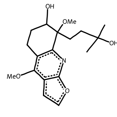 COc1c2c(nc3occc13)C(CCC(C)(C)O)(OC)C(O)CC2